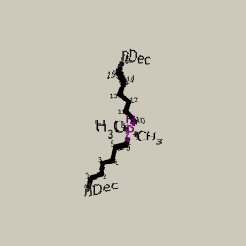 CCCCCCCCCCCCCCCC[PH](C)(C)CCCCCCCCCCCCCCCC